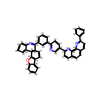 c1ccc(-c2ccc3ccc4ccc(-c5ccc(-c6cccc(-c7nc8ccccc8c8c7ccc7c9ccccc9oc78)c6)nc5)nc4c3n2)cc1